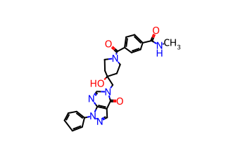 CNC(=O)c1ccc(C(=O)N2CCC(O)(Cn3cnc4c(cnn4-c4ccccc4)c3=O)CC2)cc1